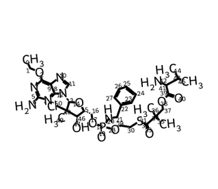 CCOc1nc(N)nc2c1ncn2[C@@H]1O[C@H](COP(=O)(NCc2ccccc2)OCCSC(=O)C(C)(C)COC(=O)C(N)C(C)C)[C@@H](O)[C@@]1(C)Cl